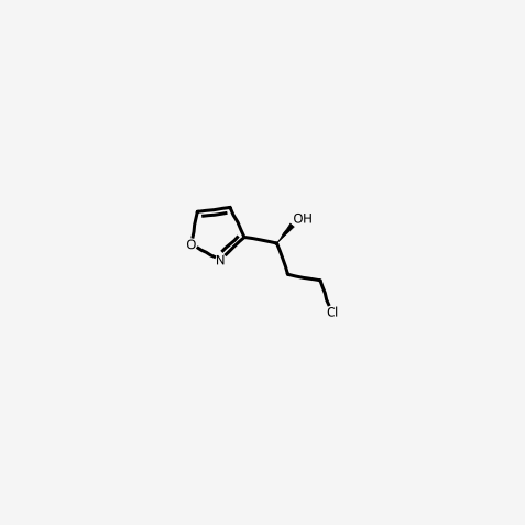 O[C@@H](CCCl)c1ccon1